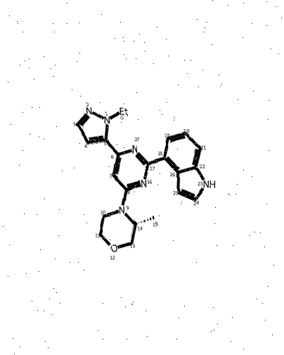 CCn1nccc1-c1cc(N2CCOC[C@H]2C)nc(-c2cccc3[nH]ccc23)n1